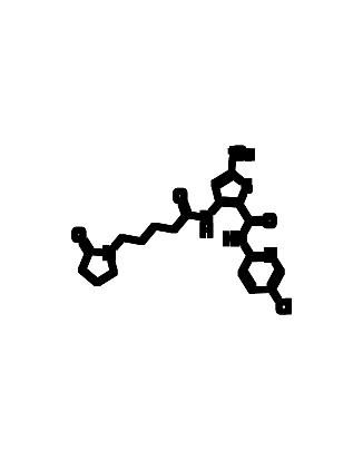 CC(C)(C)c1cc(NC(=O)CCCCN2CCCC2=O)c(C(=O)Nc2ccc(Cl)cn2)s1